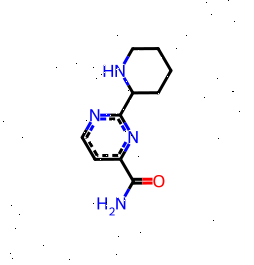 NC(=O)c1ccnc(C2CCCCN2)n1